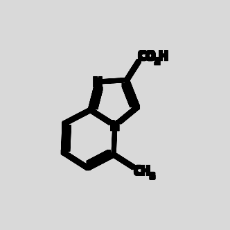 Cc1cccc2nc(C(=O)O)cn12